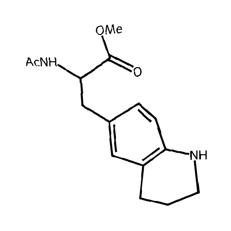 COC(=O)C(Cc1ccc2c(c1)CCCN2)NC(C)=O